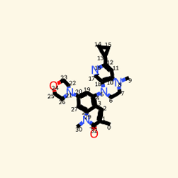 Cc1cc2c(N3CCN(C)c4cc(C5CC5)ncc43)cc(N3CCOCC3)cc2n(C)c1=O